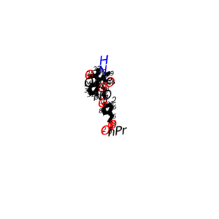 CCCC(=O)OCCc1ccc(OCCCOC(=O)C2=C(C)NC(C)=C(C(=O)OC)C2c2cccc([N+](=O)[O-])c2)cc1